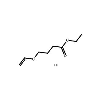 C=COCCCC(=O)OCC.F